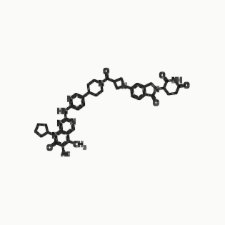 CC(=O)c1c(C)c2cnc(Nc3ccc(C4CCN(C(=O)C5CN(c6ccc7c(c6)CN(C6CCC(=O)NC6=O)C7=O)C5)CC4)cn3)nc2n(C2CCCC2)c1=O